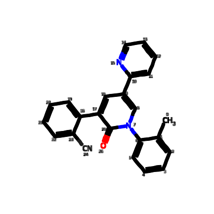 Cc1ccccc1-n1cc(-c2ccccn2)cc(-c2ccccc2C#N)c1=O